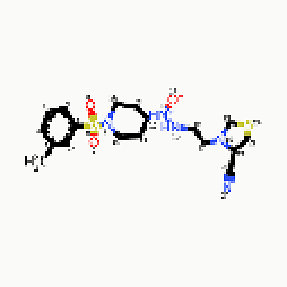 Cc1cccc(S(=O)(=O)N2CCC([NH+]([O-])NCCN3CSCC3C#N)CC2)c1